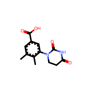 Cc1cc(C(=O)O)cc(N2CCC(=O)NC2=O)c1C